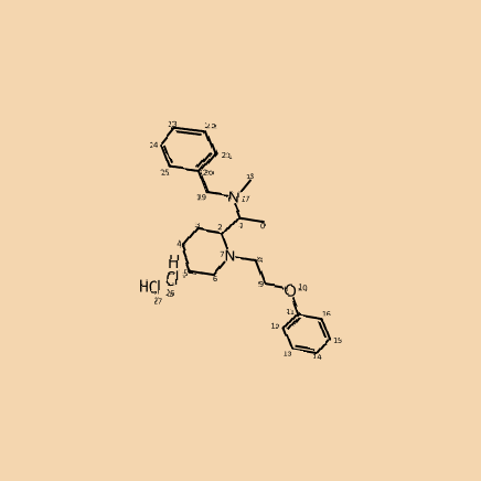 CC(C1CCCCN1CCOc1ccccc1)N(C)Cc1ccccc1.Cl.Cl